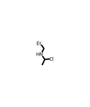 CCCNC(C)Cl